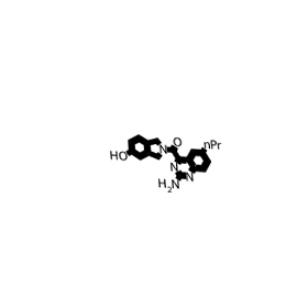 CCCc1ccc2nc(N)nc(C(=O)N3Cc4ccc(O)cc4C3)c2c1